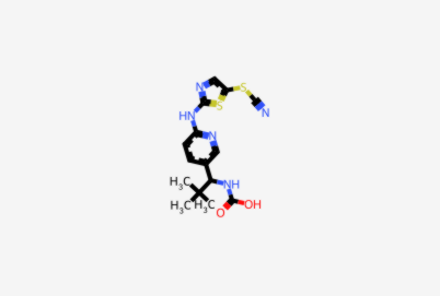 CC(C)(C)C(NC(=O)O)c1ccc(Nc2ncc(SC#N)s2)nc1